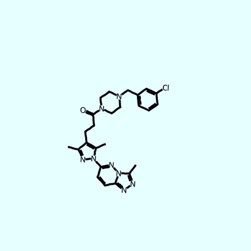 Cc1nn(-c2ccc3nnc(C)n3n2)c(C)c1CCC(=O)N1CCN(Cc2cccc(Cl)c2)CC1